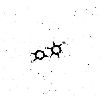 Nc1cc(F)c(Oc2ccc(F)c(Br)c2)c(F)c1I